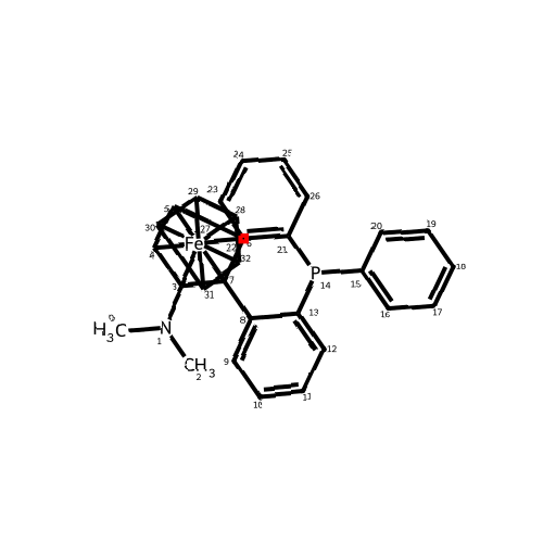 CN(C)[C]12[CH]3[CH]4[CH]5[C]1(c1ccccc1P(c1ccccc1)c1ccccc1)[Fe]45321678[CH]2[CH]1[CH]6[CH]7[CH]28